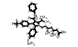 CC(C)c1c(C(=O)Nc2ccccc2)c(-c2ccc(C(F)(F)F)cc2)c(-c2ccc(F)cc2)n1CC[C@@H](O)C[C@@H](O)CC(=O)O.[CaH2]